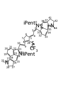 CCCC(C)n1/c(=C/C=C2\CCC(/C=C/C3=[N+](C(C)CCC)c4cc5c(c6cccc3c46)N(C)CC5)=C2SC(F)(F)F)c2cccc3c4c(cc1c32)CCN4C